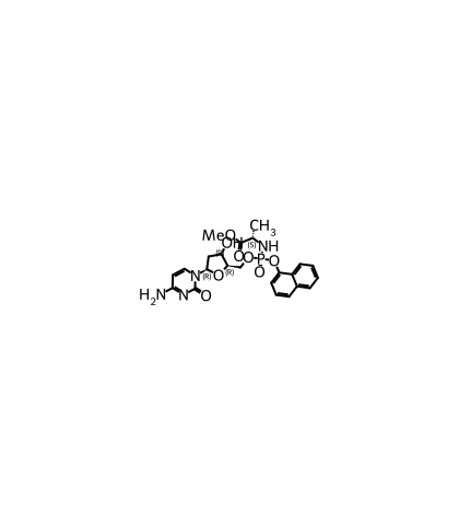 COC(=O)[C@H](C)NP(=O)(OC[C@H]1O[C@@H](n2ccc(N)nc2=O)C[C@H]1O)Oc1cccc2ccccc12